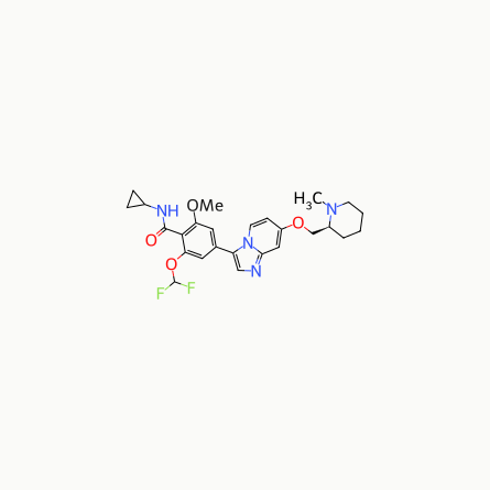 COc1cc(-c2cnc3cc(OC[C@@H]4CCCCN4C)ccn23)cc(OC(F)F)c1C(=O)NC1CC1